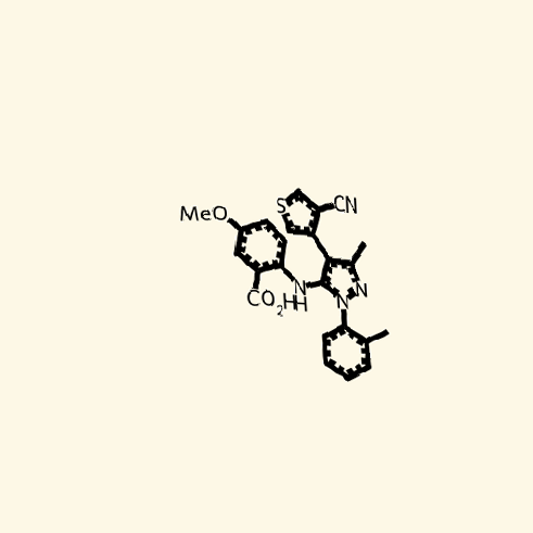 COc1ccc(Nc2c(-c3cscc3C#N)c(C)nn2-c2ccccc2C)c(C(=O)O)c1